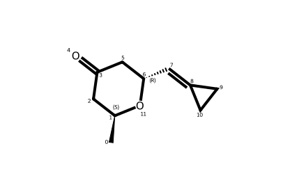 C[C@H]1CC(=O)C[C@H](C=C2CC2)O1